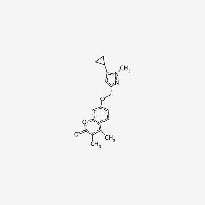 Cc1c(C)c2ccc(OCc3cc(C4CC4)n(C)n3)cc2oc1=O